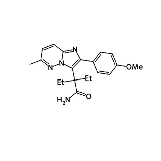 CCC(CC)(C(N)=O)c1c(-c2ccc(OC)cc2)nc2ccc(C)nn12